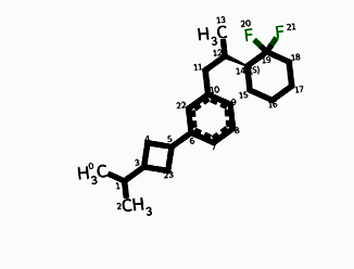 CC(C)C1CC(c2cccc(CC(C)[C@@H]3CCCCC3(F)F)c2)C1